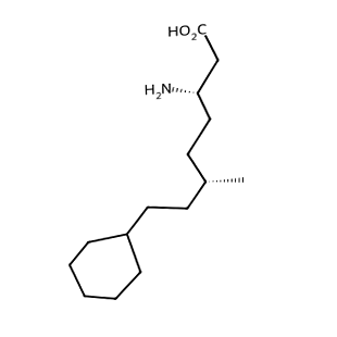 C[C@H](CCC1CCCCC1)CC[C@H](N)CC(=O)O